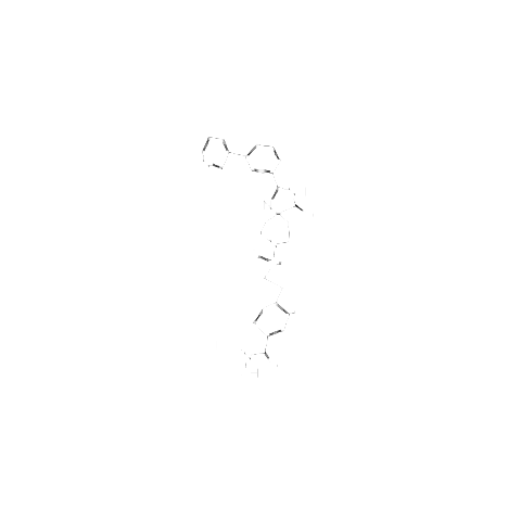 Cc1cc(C(=O)N(C)C)ccc1CCS(=O)(=O)N1CCC2(CC1)N=C(c1cccc(-c3cccnc3)c1)NC2=O